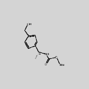 C[C@@H](NC(=O)OC(C)(C)C)c1ccc(CO)cc1